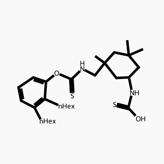 CCCCCCc1cccc(OC(=S)NCC2(C)CC(NC(O)=S)CC(C)(C)C2)c1CCCCCC